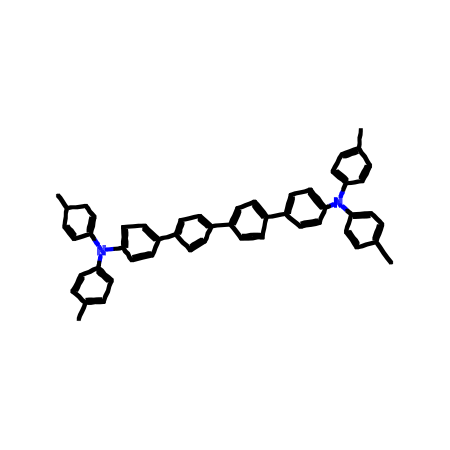 Cc1ccc(N(C2=CCC(C)C=C2)c2ccc(-c3ccc(-c4ccc(-c5ccc(N(c6ccc(C)cc6)c6ccc(C)cc6)cc5)cc4)cc3)cc2)cc1